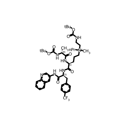 CCC[N+](C)(CCC[C@H](NC(=O)[C@@H](C)NC(=O)OC(C)(C)C)C(=O)N[C@@H](Cc1ccc(C(F)(F)F)cc1)C(=O)Nc1cnc2ccccc2c1)CCNC(=O)OC(C)(C)C